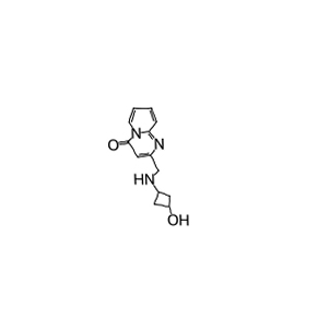 O=c1cc(CNC2CC(O)C2)nc2ccccn12